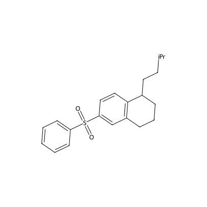 CC(C)CCC1CCCc2cc(S(=O)(=O)c3ccccc3)ccc21